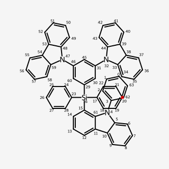 c1ccc(-n2c3ccccc3c3cccc([Si](c4ccccc4)(c4ccccc4)c4cc(-n5c6ccccc6c6ccccc65)cc(-n5c6ccccc6c6ccccc65)c4)c32)cc1